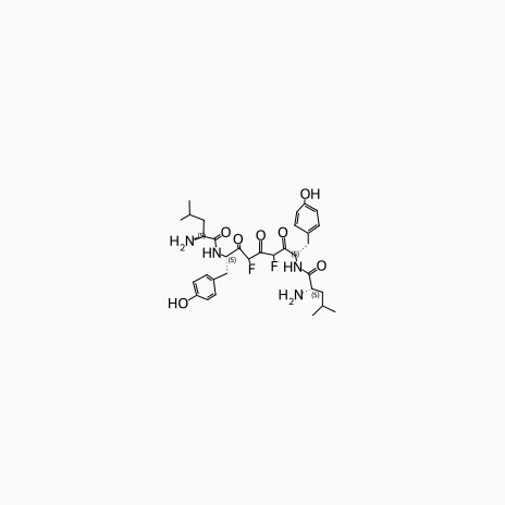 CC(C)C[C@H](N)C(=O)N[C@@H](Cc1ccc(O)cc1)C(=O)C(F)C(=O)C(F)C(=O)[C@H](Cc1ccc(O)cc1)NC(=O)[C@@H](N)CC(C)C